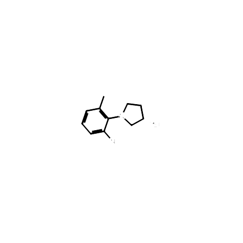 CC[C@H]1CCN(c2c(C)cccc2N)C1